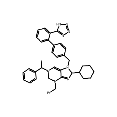 CC(C)CN1CN(C(C)c2ccccc2)C=C2C1=NC(C1CCCCC1)N2Cc1ccc(-c2ccccc2-c2nnn[nH]2)cc1